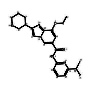 CCOc1cc(C(=O)Nc2cccc(C(F)F)n2)cn2cc(C3CCCOC3)nc12